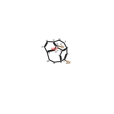 OCc1cc2c(Br)cc1CCc1ccc(cc1Br)CC2